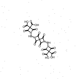 O=C(O)C1(C(=O)O)C(=O)N(BN2C(=O)C3(C2=O)C(=O)N(BN2C(=O)C(C(=O)O)(C(=O)O)C2=O)C3=O)C1=O